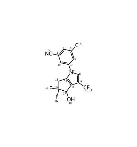 N#Cc1cc(Cl)cc(-n2cc(C(F)(F)F)c3c2CC(F)(F)C3O)c1